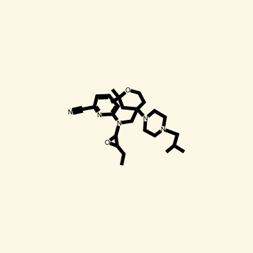 CCC1OC1N(CC1(N2CCN(CC(C)C)CC2)CCOC(C)(C)C1)c1cccc(C#N)n1